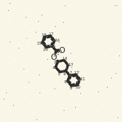 O=C(OC1CCC(c2ccccc2)CC1)c1ccccc1